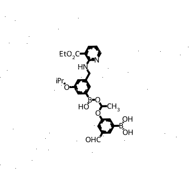 CCOC(=O)c1cccnc1NCc1cc(OC(C)C)cc(B(O)OC(C)Oc2cc(C=O)cc(B(O)O)c2)c1